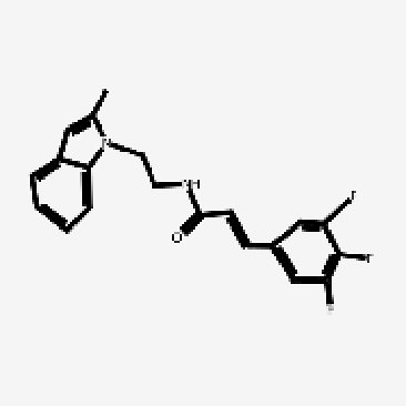 Cc1cc2ccccc2n1CCNC(=O)/C=C/c1cc(F)c(F)c(F)c1